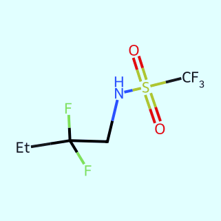 CCC(F)(F)CNS(=O)(=O)C(F)(F)F